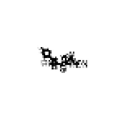 Cc1ccc(-c2cc(C(=O)N3CC[C@@]4(CC4NC#N)C3)n[nH]2)cc1